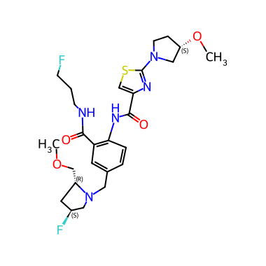 COC[C@H]1C[C@H](F)CN1Cc1ccc(NC(=O)c2csc(N3CC[C@H](OC)C3)n2)c(C(=O)NCCCF)c1